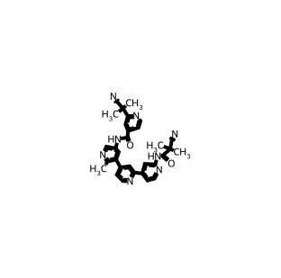 Cc1ncc(NC(=O)c2ccnc(C(C)(C)C#N)c2)cc1-c1ccnc(-c2ccnc(NC(=O)C(C)(C)C#N)c2)c1